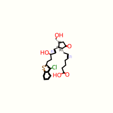 O=C(O)CCC/C=C\C[C@H]1C(=O)C[C@@H](CO)[C@@H]1/C=C/C(O)CCc1sc2ccccc2c1Cl